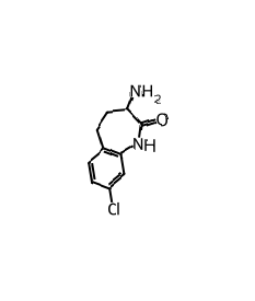 NC1CCc2ccc(Cl)cc2NC1=O